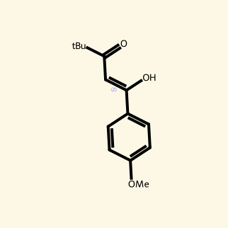 COc1ccc(/C(O)=C/C(=O)C(C)(C)C)cc1